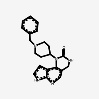 O=C1NCc2cnc3[nH]ccc3c2N1C1CCN(Cc2ccccc2)CC1